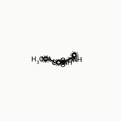 CN1CCN(CCCOc2ccc(S(=O)(=O)NCCCc3c[nH]c4ccccc34)cc2)CC1